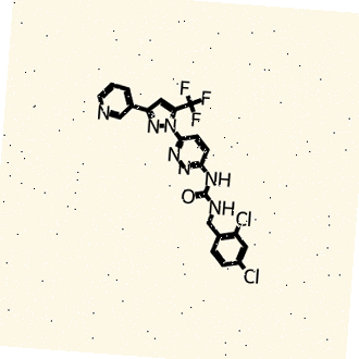 O=C(NCc1ccc(Cl)cc1Cl)Nc1ccc(-n2nc(-c3cccnc3)cc2C(F)(F)F)nn1